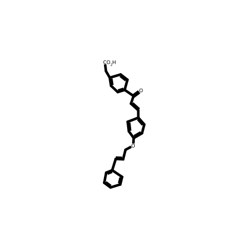 O=C(O)Cc1ccc(C(=O)C=Cc2ccc(OCC=Cc3ccccc3)cc2)cc1